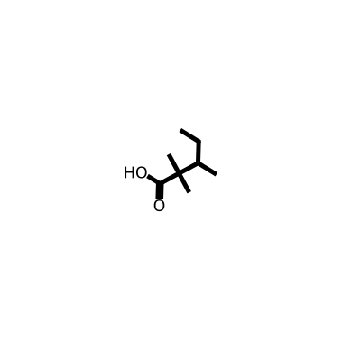 CCC(C)C(C)(C)C(=O)O